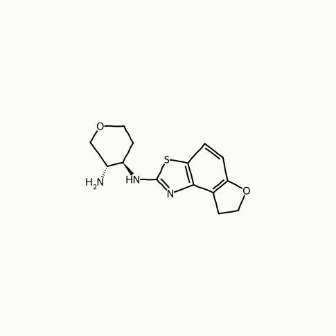 N[C@@H]1COCC[C@H]1Nc1nc2c3c(ccc2s1)OCC3